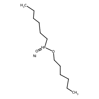 CCCCCCO[PH](=O)CCCCCC.[Ni]